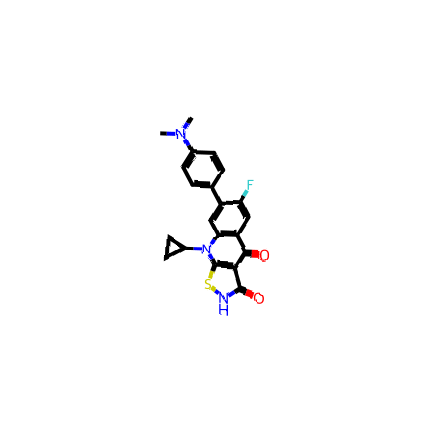 CN(C)c1ccc(-c2cc3c(cc2F)c(=O)c2c(=O)[nH]sc2n3C2CC2)cc1